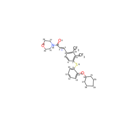 O=C(/C=C/c1ccc(Sc2ccccc2OC2CCCCC2)c(C(F)(F)F)c1C(F)(F)F)N1CCOCC1